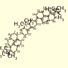 CC1(C)c2cc(-c3ccc4ccc5c([Si](C)(C)C)ccc6ccc3c4c65)ccc2-c2ccc(-c3ccc4ccc5c([Si](C)(C)C)ccc6ccc3c4c65)cc21